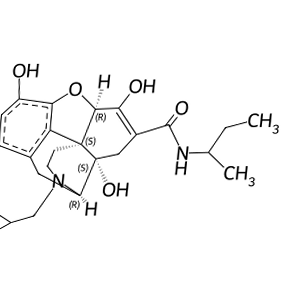 CCC(C)NC(=O)C1=C(O)[C@@H]2Oc3c(O)ccc4c3[C@@]23CCN(CC2CC2)[C@H](C4)[C@]3(O)C1